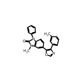 Cc1cccc(-c2ncoc2-c2ccc3c(c2)n(C)c(=O)n3-c2ccccc2)c1